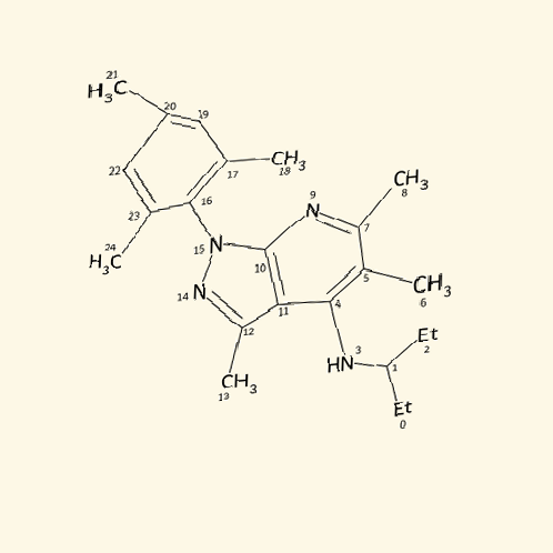 CCC(CC)Nc1c(C)c(C)nc2c1c(C)nn2-c1c(C)cc(C)cc1C